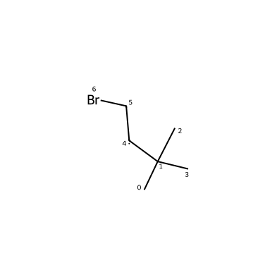 CC(C)(C)[CH]CBr